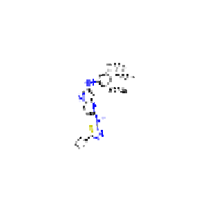 COc1cc(Nc2cnc3ccc(Nc4nnc(C5CCCC5)s4)nc3c2)cc(OC)c1OC